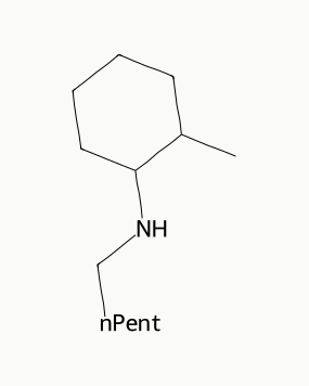 CCCCCCNC1CCCCC1C